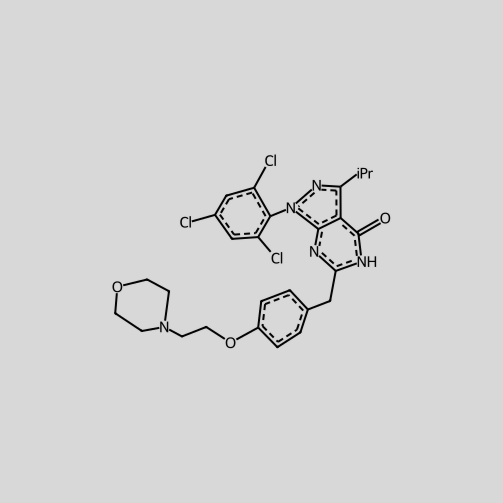 CC(C)c1nn(-c2c(Cl)cc(Cl)cc2Cl)c2nc(Cc3ccc(OCCN4CCOCC4)cc3)[nH]c(=O)c12